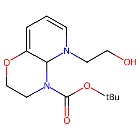 CC(C)(C)OC(=O)N1CCOC2=CC=CN(CCO)C21